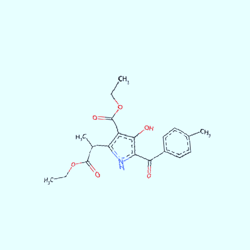 CCOC(=O)c1c(C(C)C(=O)OCC)[nH]c(C(=O)c2ccc(C)cc2)c1O